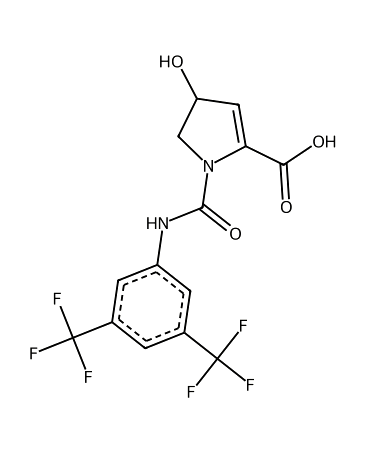 O=C(O)C1=CC(O)CN1C(=O)Nc1cc(C(F)(F)F)cc(C(F)(F)F)c1